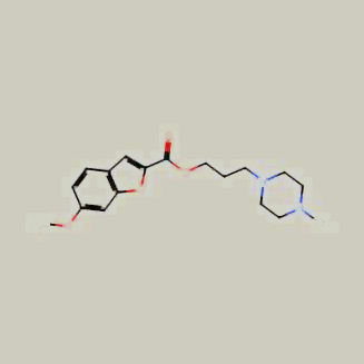 COc1ccc2cc(C(=O)OCCCN3CCN(C)CC3)oc2c1